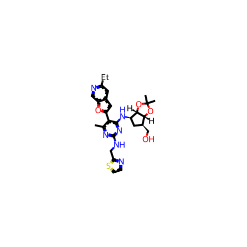 CCc1cc2cc(-c3c(C)nc(NCc4nccs4)nc3N[C@@H]3C[C@H](CO)[C@H]4OC(C)(C)O[C@H]43)oc2cn1